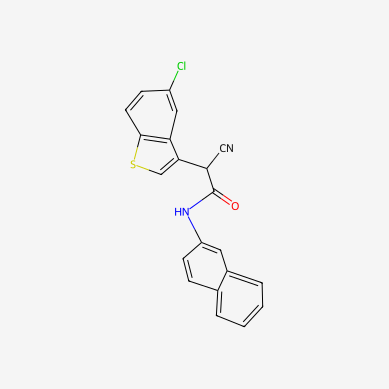 N#CC(C(=O)Nc1ccc2ccccc2c1)c1csc2ccc(Cl)cc12